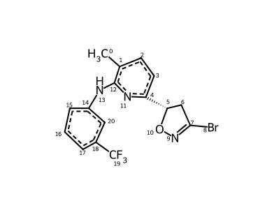 Cc1ccc([C@@H]2CC(Br)=NO2)nc1Nc1cccc(C(F)(F)F)c1